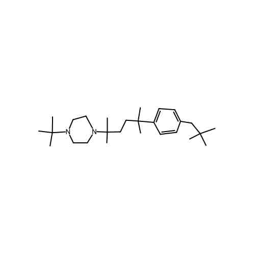 CC(C)(C)Cc1ccc(C(C)(C)CCC(C)(C)N2CCN(C(C)(C)C)CC2)cc1